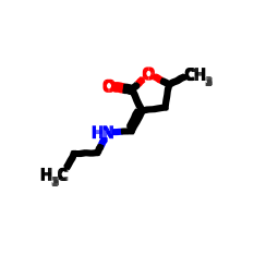 CCCN/C=C1/CC(C)OC1=O